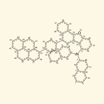 c1ccc2cc(N(c3ccc4ccccc4c3)c3cccc4oc5c6ccccc6c(-c6ccc(-c7ccc8ccc9cccc%10ccc7c8c9%10)cc6)cc5c34)ccc2c1